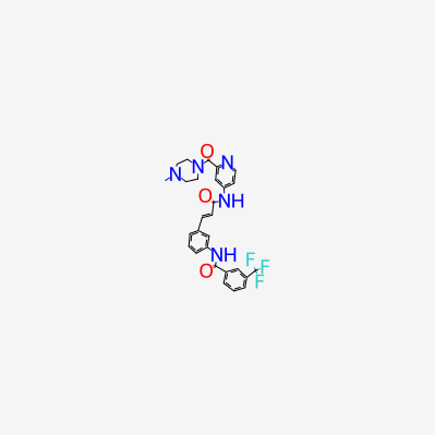 CN1CCN(C(=O)c2cc(NC(=O)C=Cc3cccc(NC(=O)c4cccc(C(F)(F)F)c4)c3)ccn2)CC1